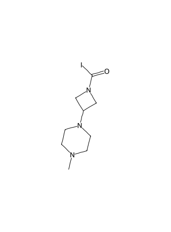 CN1CCN(C2CN(C(=O)I)C2)CC1